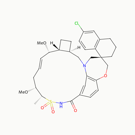 CO[C@H]1/C=C/C[C@@H](OC)[C@@H](C)S(=O)(=O)NC(=O)c2ccc3c(c2)N(C[C@@H]2CC[C@H]21)C[C@@]1(CCCc2cc(Cl)ccc21)CO3